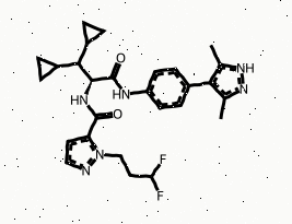 Cc1n[nH]c(C)c1-c1ccc(NC(=O)[C@@H](NC(=O)c2ccnn2CCC(F)F)C(C2CC2)C2CC2)cc1